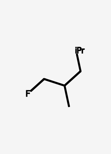 CC(C)CC(C)CF